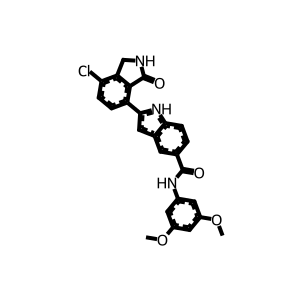 COc1cc(NC(=O)c2ccc3[nH]c(-c4ccc(Cl)c5c4C(=O)NC5)cc3c2)cc(OC)c1